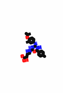 Cc1ccc(CN/C(=N/c2ccc(OC(C)C)c(C)c2)NC(=O)NCCCC(=O)O)cc1